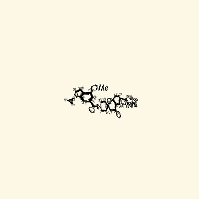 COc1cc(C(=O)N2CCC3(CC2)CC(=O)c2cc(-c4nnn[nH]4)ccc2O3)cc2c1ccn2C1CC1